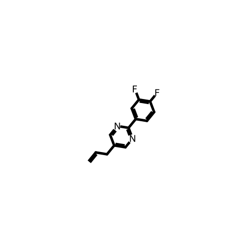 C=CCc1cnc(-c2ccc(F)c(F)c2)nc1